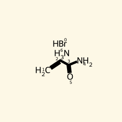 Br.C=CC(N)=O.N